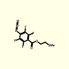 CSCCOC(=O)c1c(F)c(F)c(N=[N+]=[N-])c(F)c1F